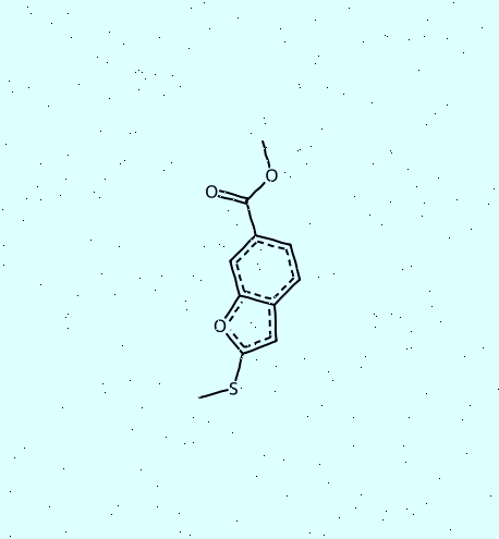 COC(=O)c1ccc2cc(SC)oc2c1